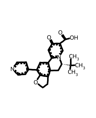 CC(C)(C)[C@@H]1Cc2c(cc(-c3ccncc3)c3c2CCO3)-c2cc(=O)c(C(=O)O)cn21